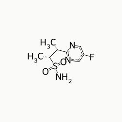 C[C@H](c1ncc(F)cn1)[C@@H](C)S(N)(=O)=O